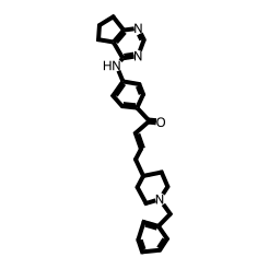 O=C(C=CCC1CCN(Cc2ccccc2)CC1)c1ccc(Nc2ncnc3c2CCC3)cc1